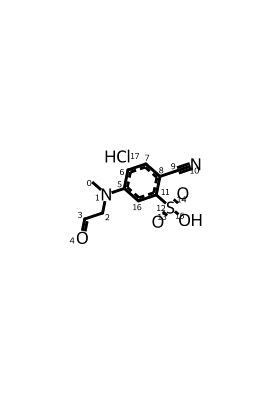 CN(CC=O)c1ccc(C#N)c(S(=O)(=O)O)c1.Cl